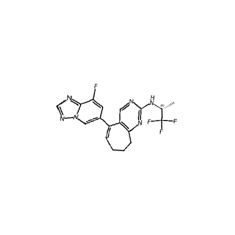 C[C@@H](Nc1ncc2c(n1)CCCC=C2c1cc(F)c2ncnn2c1)C(F)(F)F